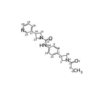 CCC(=O)N1CC(c2ccc(NC(=O)N3CC(c4cccnc4)C3)cc2)C1